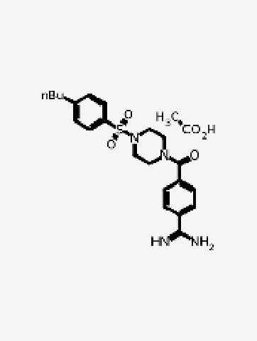 CC(=O)O.CCCCc1ccc(S(=O)(=O)N2CCN(C(=O)c3ccc(C(=N)N)cc3)CC2)cc1